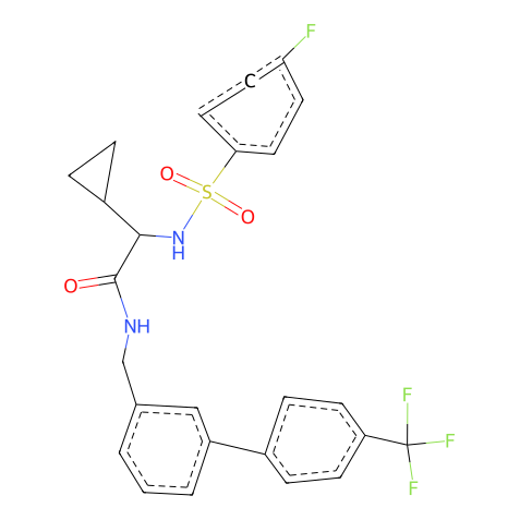 O=C(NCc1cccc(-c2ccc(C(F)(F)F)cc2)c1)C(NS(=O)(=O)c1ccc(F)cc1)C1CC1